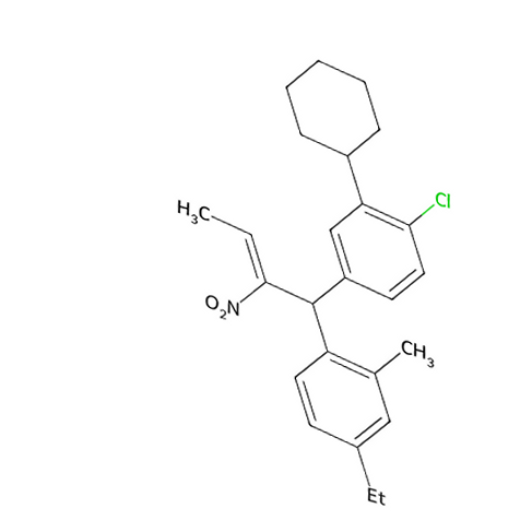 CC=C(C(c1ccc(Cl)c(C2CCCCC2)c1)c1ccc(CC)cc1C)[N+](=O)[O-]